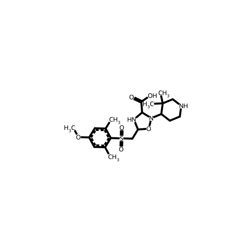 COc1cc(C)c(S(=O)(=O)CC2NC(C(=O)O)N(C3CCNCC3(C)C)O2)c(C)c1